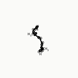 CC(c1ccc(C#CC2CCN(C(=O)CCCCCC(=O)N3CCC(c4ccc5c(c4)n(C)c(=O)n5C4CCC(=O)NC4=O)CC3)CC2)c2ccccc12)N1CCC(C(=O)NCc2ccc3cncn3c2)CC1